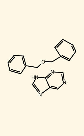 c1ccc(COCc2ccccc2)cc1.c1ncc2nc[nH]c2n1